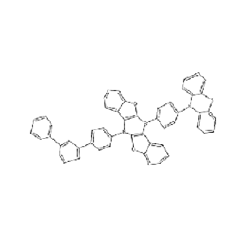 c1ccc(-c2cccc(-c3ccc(B4c5oc6ccccc6c5B(c5ccc(N6c7ccccc7Sc7ccccc76)cc5)c5oc6ccccc6c54)cc3)c2)cc1